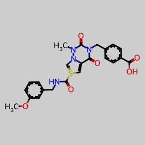 COc1cccc(CNC(=O)S2=CN3C(=C2)C(=O)N(Cc2ccc(C(=O)O)cc2)C(=O)N3C)c1